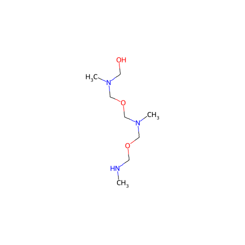 CNCOCN(C)COCN(C)CO